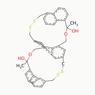 CC1(O)OCc2cc3cc4cc(cc(c24)COC(C)(O)c2cccc4c(cccc24)CSSC3)CSSCc2cccc3c1cccc23